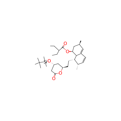 CCC(CC)C(=O)O[C@H]1C[C@@H](C)C=C2C=C[C@H](C)[C@H](CC[C@@H]3C[C@@H](O[Si](C)(C)C(C)(C)C)CC(=O)O3)C21